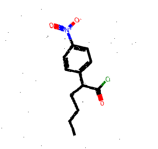 CCCCC(C(=O)Cl)c1ccc([N+](=O)[O-])cc1